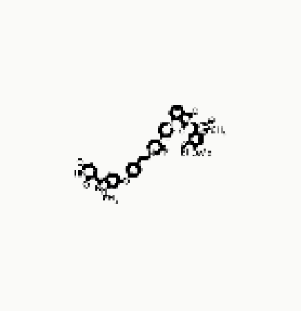 CCOc1cc([C@@H](CS(C)(=O)=O)N2C(=O)c3cccc(N4CCC([C@@H]5CCN(CCc6ccc(Oc7ccc8c(C9CCC(=O)NC9=O)nn(C)c8c7)cc6)CC5(F)F)CC4)c3C2=O)ccc1OC